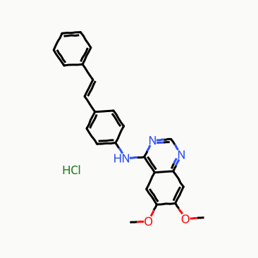 COc1cc2ncnc(Nc3ccc(C=Cc4ccccc4)cc3)c2cc1OC.Cl